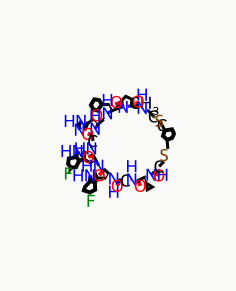 C[C@@]12CCCN1C(=O)[C@H](Cc1ccccc1)NC(=O)[C@H](Cc1cnc[nH]1)NC(=O)CNC(=O)[C@H](Cc1c[nH]c3ccc(F)cc13)NC(=O)[C@H](Cc1c[nH]c3ccc(F)cc13)NC(=O)CNC(=O)[C@H](C1CC1)NC(=O)CCSCc1cccc(c1)CSCCNC2=O